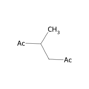 CC(=O)CC(C)C(C)=O